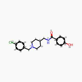 O=C(NCC1CCN(Cc2ccc(Cl)cc2)CC1)c1ccc(O)cc1